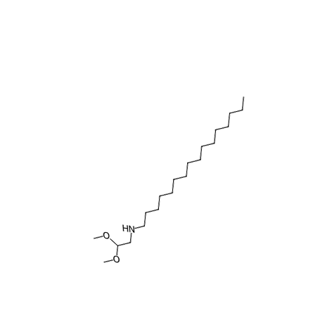 CCCCCCCCCCCCCCCCNCC(OC)OC